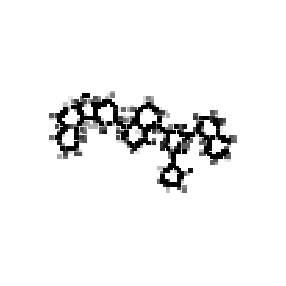 c1ccc(-c2nc(-c3cccc4ccccc34)nc(-c3cccc4c(-c5ccc6oc7ccc8ccccc8c7c6c5)cccc34)n2)cc1